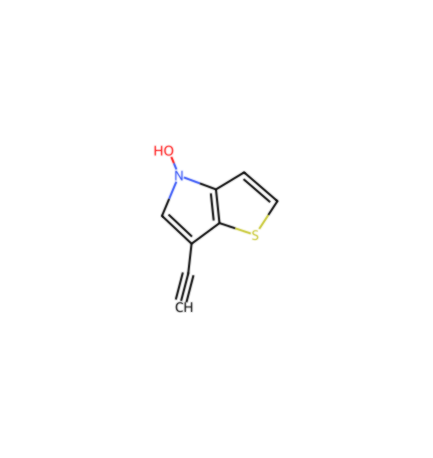 C#Cc1cn(O)c2ccsc12